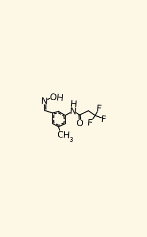 Cc1cc(/C=N\O)cc(NC(=O)CC(F)(F)F)c1